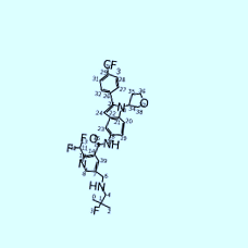 CC(C)(F)CNCc1cnc(C(F)F)c(C(=O)Nc2ccc3c(c2)cc(-c2ccc(C(F)(F)F)cc2)n3C2CCOC2)c1